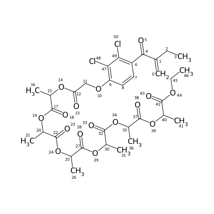 C=C(CC)C(=O)c1ccc(OCC(=O)OC(C)C(=O)OC(C)C(=O)OC(C)C(=O)OC(C)C(=O)OC(C)C(=O)OC(C)C(=O)OCC)c(Cl)c1Cl